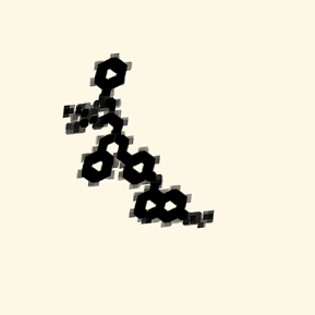 CC(C)(C)[Si](C)(C)O[C@H](COc1ccccc1)CN(CCc1ccc(Oc2ccnc3cc(C(=O)O)ccc23)cc1)Cc1ccccc1